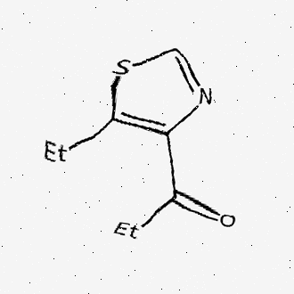 CCC(=O)c1ncsc1CC